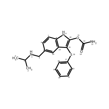 CC(C)NCc1ccc2[nH]c(OC(N)=O)c(Sc3ccccc3)c2c1